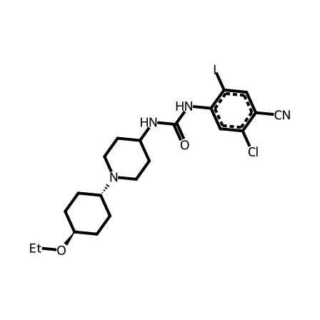 CCO[C@H]1CC[C@H](N2CCC(NC(=O)Nc3cc(Cl)c(C#N)cc3I)CC2)CC1